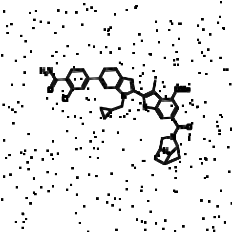 COc1cc(C(=O)N2CC3CC4CC2[C@H]43)cc2sc(-c3cc4ccc(-c5ccc(C(N)=O)c(Cl)c5)cc4n3CC3CC3)c(C)c12